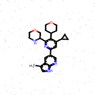 Cc1c[nH]c2ncc(-c3cc(C4CC4)c(C4CCOCC4)c(C4COCCN4)n3)cc12